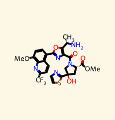 COC(=O)[C@@H]1C[C@](O)(c2nccs2)CN1C(=O)c1nc(-c2ccc(OC)c3nc(C(F)(F)F)ccc23)oc1[C@H](C)N